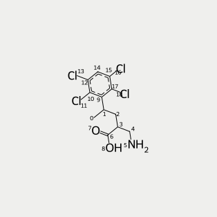 CC(CC(CN)C(=O)O)c1c(Cl)c(Cl)cc(Cl)c1Cl